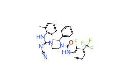 Cc1ccccc1N/C(=N/C#N)N1CCN(C(=O)Nc2cccc(C(F)(F)F)c2F)C(c2ccccc2)C1